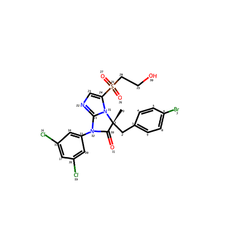 C[C@@]1(Cc2ccc(Br)cc2)C(=O)N(c2cc(Cl)cc(Cl)c2)c2ncc(S(=O)(=O)CCO)n21